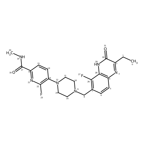 CCc1nc2ccc(CN3CCN(c4ccc(C(=O)NC)nc4F)CC3)c(F)c2[nH]c1=O